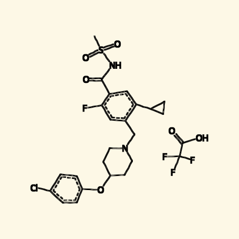 CS(=O)(=O)NC(=O)c1cc(C2CC2)c(CN2CCC(Oc3ccc(Cl)cc3)CC2)cc1F.O=C(O)C(F)(F)F